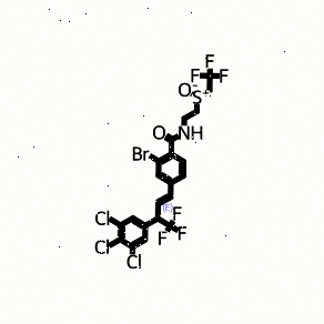 O=C(NCC[S+]([O-])CC(F)(F)F)c1ccc(/C=C/C(c2cc(Cl)c(Cl)c(Cl)c2)C(F)(F)F)cc1Br